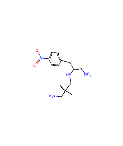 CC(C)(CN)CNC(CN)Cc1ccc([N+](=O)[O-])cc1